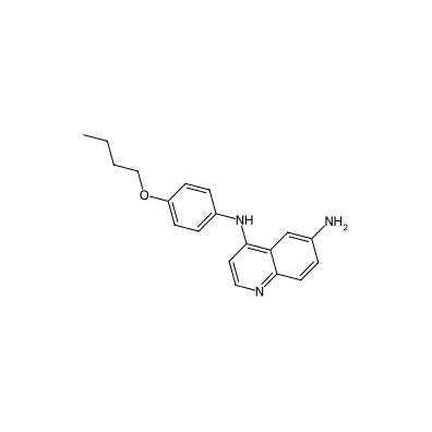 CCCCOc1ccc(Nc2ccnc3ccc(N)cc23)cc1